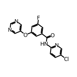 O=C(Nc1ccc(Cl)cn1)c1cc(F)cc(Oc2cncnc2)c1